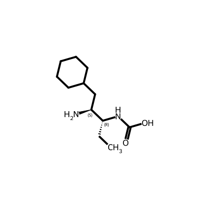 CC[C@@H](NC(=O)O)[C@@H](N)CC1CCCCC1